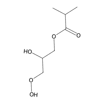 CC(C)C(=O)OCC(O)COO